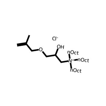 C=C(C)COCC(O)C[N+](CCCCCCCC)(CCCCCCCC)CCCCCCCC.[Cl-]